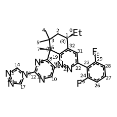 CC[C@@H]1CC(C)(C)[C@@](C)(c2ccnc(-n3cnnc3)n2)c2nnc(-c3c(F)cccc3F)cc21